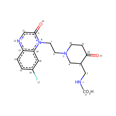 O=C(O)NCC1CN(CCn2c(=O)cnc3ccc(F)cc32)CCC1=O